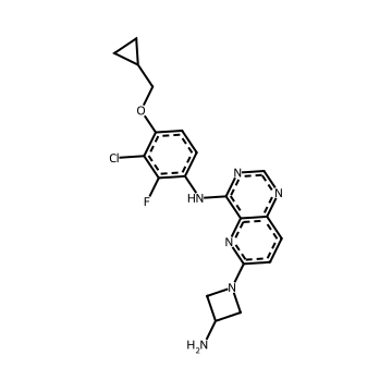 NC1CN(c2ccc3ncnc(Nc4ccc(OCC5CC5)c(Cl)c4F)c3n2)C1